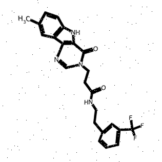 Cc1ccc2[nH]c3c(=O)n(CCC(=O)NCCc4cccc(C(F)(F)F)c4)cnc3c2c1